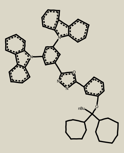 CCCCC(Oc1cccc(-c2nnc(-c3cc(-n4c5ccccc5c5ccccc54)cc(-n4c5ccccc5c5ccccc54)c3)o2)c1)(C1CCCCCC1)C1CCCCCC1